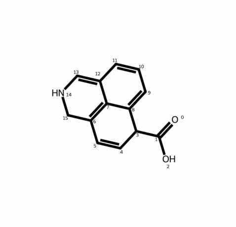 O=C(O)C1C=CC2=c3c1cccc3=CNC2